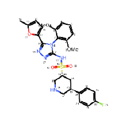 COc1cccc(OC)c1-n1c(NS(=O)(=O)[C@H]2CNC[C@H](c3ccc(F)cc3)C2)nnc1-c1ccc(C)o1